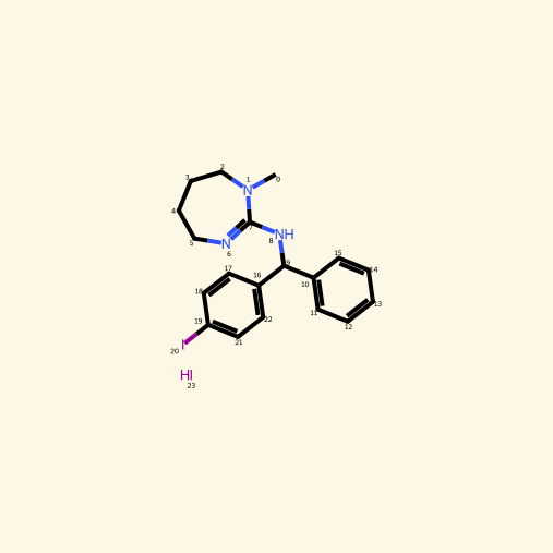 CN1CCCCN=C1NC(c1ccccc1)c1ccc(I)cc1.I